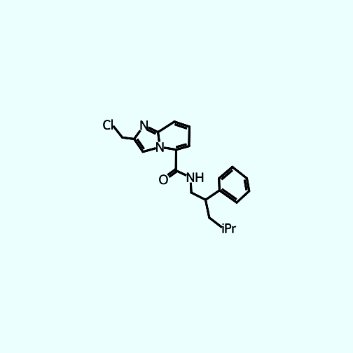 CC(C)CC(CNC(=O)c1cccc2nc(CCl)cn12)c1ccccc1